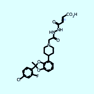 CC1(c2ccc(Cl)cc2F)Oc2cccc(C3CCN(CC(=O)NNC(=O)/C=C/C(=O)O)CC3)c2O1